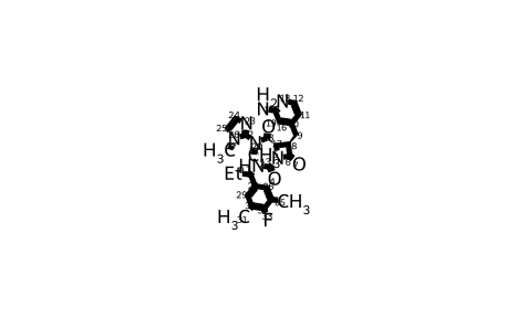 CCC(NC(=O)N1C(=O)[C@H](Cc2ccnc(N)c2)[C@H]1C(=O)N(C)c1nccn1C)c1cc(C)c(F)c(C)c1